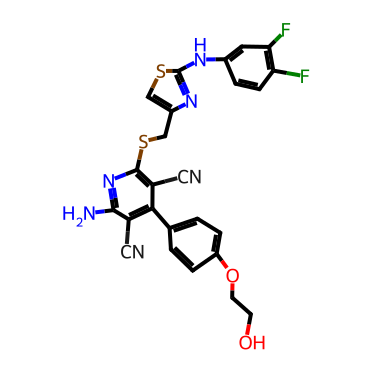 N#Cc1c(N)nc(SCc2csc(Nc3ccc(F)c(F)c3)n2)c(C#N)c1-c1ccc(OCCO)cc1